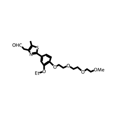 CCOc1cc(-c2nc(CC=O)c(C)s2)ccc1OCCOCCOCCOC